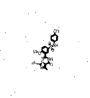 CCCc1nc(C)c2c(=O)[nH]c(-c3cc(S(=O)(=O)Nc4ccc(O)cc4)ccc3OCC)nn12